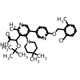 Cc1cccc(Cl)c1COc1ccc(-c2cnc(C)c(C(OC(C)(C)C)C(=O)O)c2N2CCC(C)(C)CC2)cn1